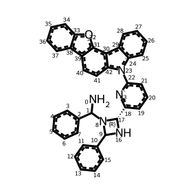 NC(c1ccccc1)N1C(c2ccccc2)N[C@H]1c1cccc(-n2c3ccccc3c3c4oc5ccccc5c4ccc32)n1